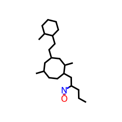 CCCC(CC1CCC(C)CC(CCC2CCCCC2C)CC1C)N=O